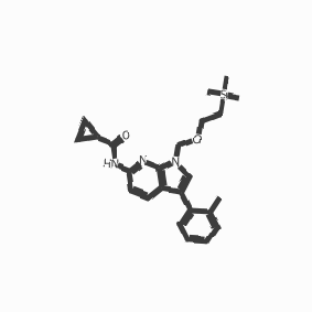 Cc1ccccc1-c1cn(COCC[Si](C)(C)C)c2nc(NC(=O)C3CC3)ccc12